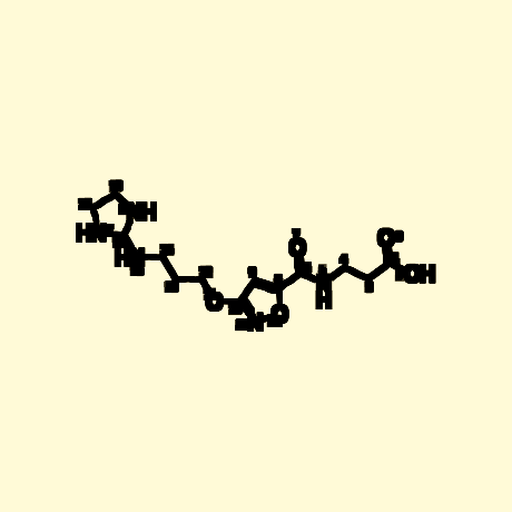 O=C(O)CCNC(=O)c1cc(OCCCNC2NCCN2)no1